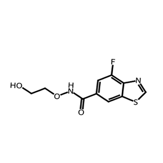 O=C(NOCCO)c1cc(F)c2ncsc2c1